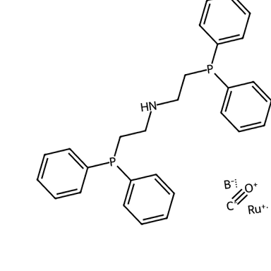 [B-].[C-]#[O+].[Ru+].c1ccc(P(CCNCCP(c2ccccc2)c2ccccc2)c2ccccc2)cc1